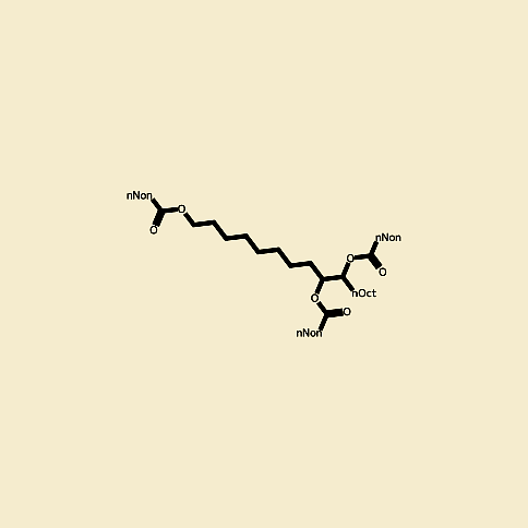 CCCCCCCCCC(=O)OCCCCCCCCC(OC(=O)CCCCCCCCC)C(CCCCCCCC)OC(=O)CCCCCCCCC